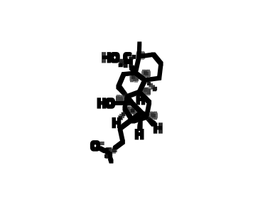 C[S+]([O-])CC[C@H]1[C@H]2CC[C@@]3(CC[C@H]4[C@@](C)(CCC[C@@]4(C)C(=O)O)[C@@H]3C2)[C@@H]1O